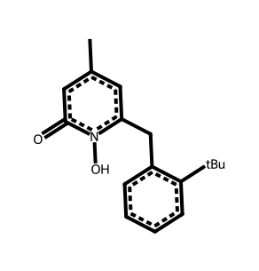 Cc1cc(Cc2ccccc2C(C)(C)C)n(O)c(=O)c1